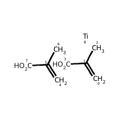 C=C(C)C(=O)O.C=C(C)C(=O)O.[Ti]